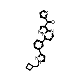 O=C(c1cccs1)c1cnn2c(-c3cccc(-c4ccn(CC5CCC5)n4)c3)ccnc12